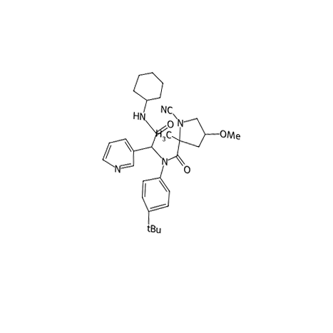 COC1CN(C#N)C(C)(C(=O)N(c2ccc(C(C)(C)C)cc2)C(C(=O)NC2CCCCC2)c2cccnc2)C1